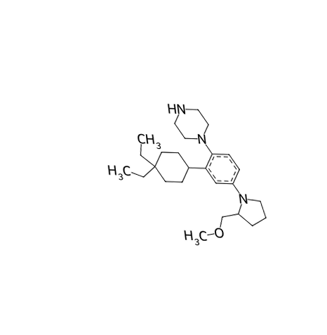 CCC1(CC)CCC(c2cc(N3CCCC3COC)ccc2N2CCNCC2)CC1